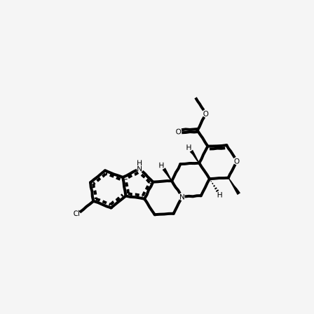 COC(=O)C1=CO[C@@H](C)[C@H]2CN3CCc4c([nH]c5ccc(Cl)cc45)[C@@H]3C[C@H]12